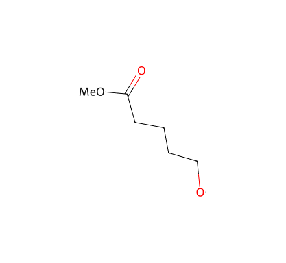 COC(=O)CCCC[O]